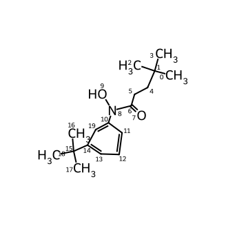 CC(C)(C)CCC(=O)N(O)c1cccc(C(C)(C)C)c1